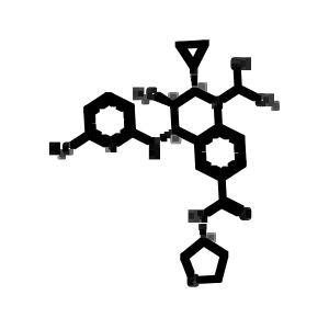 Cc1cccc(N[C@H]2c3cc(C(=O)N[C@@H]4CCOC4)ccc3N(C(C)O)[C@@H](C3CC3)[C@@H]2C)n1